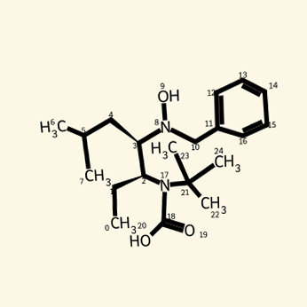 CC[C@@H]([C@@H](CC(C)C)N(O)Cc1ccccc1)N(C(=O)O)C(C)(C)C